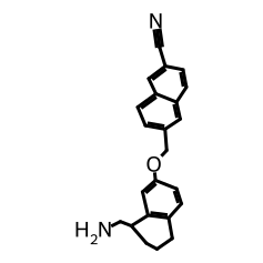 N#Cc1ccc2cc(COc3ccc4c(c3)C(CN)CCC4)ccc2c1